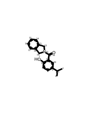 CC(C)c1ccc(O)c(C(=O)N2Cc3ccccc3C2)c1